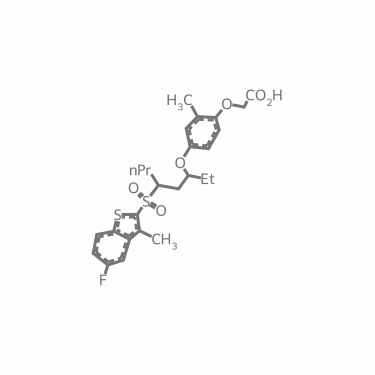 CCCC(CC(CC)Oc1ccc(OCC(=O)O)c(C)c1)S(=O)(=O)c1sc2ccc(F)cc2c1C